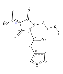 CSCCC1C(=O)/C(=C(\C)O)C(=O)N1C(=O)Cc1cccs1